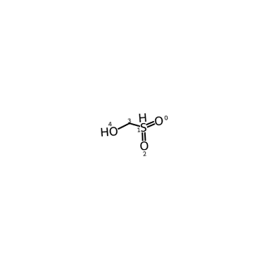 O=[SH](=O)CO